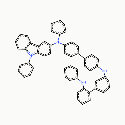 c1ccc(Nc2ccccc2-c2cccc(Nc3ccc(-c4ccc(N(c5ccccc5)c5ccc6c(c5)c5ccccc5n6-c5ccccc5)cc4)cc3)c2)cc1